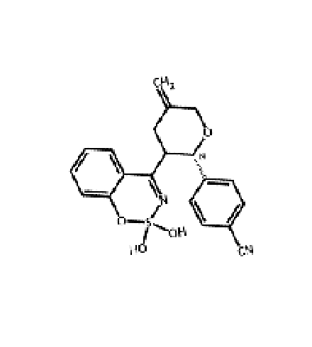 C=C1CO[C@H](c2ccc(C#N)cc2)C(C2=NS(O)(O)Oc3ccccc32)C1